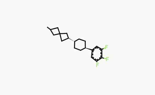 CC1CC2(C1)CC([C@H]1CC[C@H](c3cc(F)c(F)c(F)c3)CC1)C2